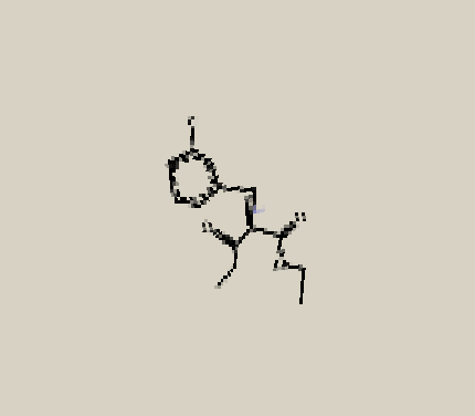 CCOC(=O)/C(=C/c1cccc(Cl)c1)C(=O)CC